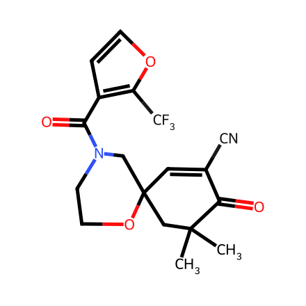 CC1(C)CC2(C=C(C#N)C1=O)CN(C(=O)c1ccoc1C(F)(F)F)CCO2